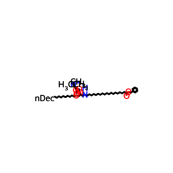 CCCCCCCCCCCCCCCCCCCCOCC(CNCCCCCCCCCCCCCCCCCCC(=O)OCc1ccccc1)OP(=O)([O-])OCC[N+](C)(C)C